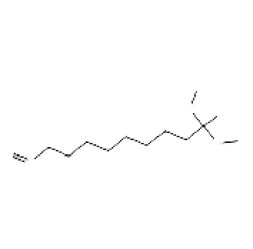 CCOC(CCCCCCCCP=O)(OCC)C(=O)O